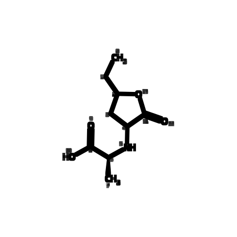 CCC1CC(N[C@@H](C)C(=O)O)C(=O)O1